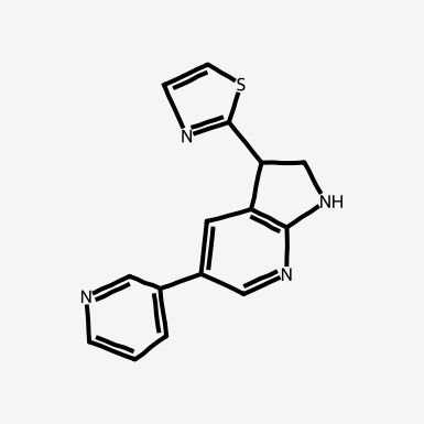 c1cncc(-c2cnc3c(c2)C(c2nccs2)CN3)c1